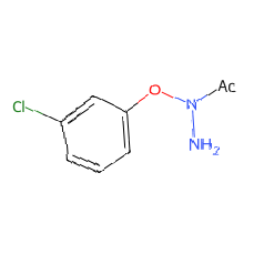 CC(=O)N(N)Oc1cccc(Cl)c1